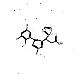 COc1c(F)cc(F)cc1-c1cc(F)cc(C(CC(=O)O)c2ncco2)c1